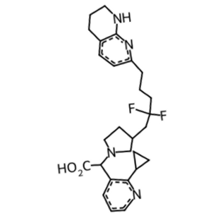 O=C(O)C(c1cccnc1C1CC1)N1CCC(CC(F)(F)CCCc2ccc3c(n2)NCCC3)C1